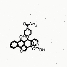 NC(=O)N1CCN(C(c2ccncc2)c2c(O)c3ccccc3c3occ(C(=O)OCO)c23)CC1